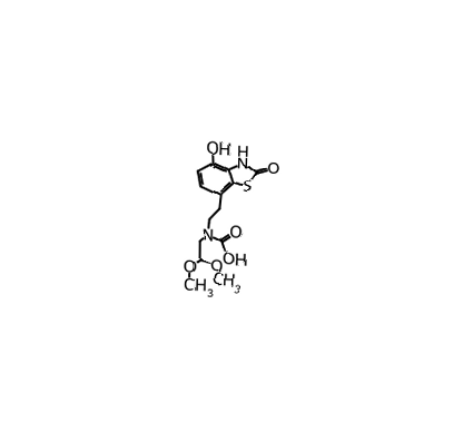 COC(CN(CCc1ccc(O)c2[nH]c(=O)sc12)C(=O)O)OC